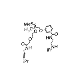 CSSC(C)(COc1cccc(C(=O)NCCNC(C)C)c1)OCCOCC(=O)NCC#CC(C)C